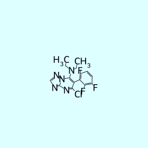 CCN(CC)c1c(-c2c(F)ccc(F)c2F)c(Cl)nc2ncnn12